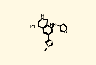 Cl.Cn1cnc(-c2cc3c(c(N[C@H]4CCOC4)c2)CNCC3)c1